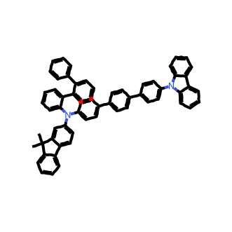 CC1(C)c2ccccc2-c2ccc(N(c3ccc(-c4ccc(-c5ccc(-n6c7ccccc7c7ccccc76)cc5)cc4)cc3)c3ccccc3-c3ccccc3-c3ccccc3)cc21